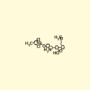 COCCCc1ccccc1-c1ccc(C(CN)Cc2ccc(OCCOc3c(Cl)cc(C)cc3Cl)cc2)cc1C(=O)O